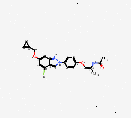 CC(=O)N[C@@H](C)COc1ccc(-n2cc3c(F)cc(OCC4CC4)cc3n2)cc1